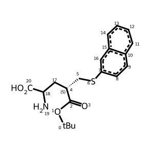 CC(C)(C)OC(=O)[C@@H](CSc1ccc2ccccc2c1)CC(N)C(=O)O